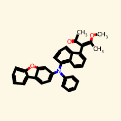 CO/C(C)=C(\C(C)=O)c1cccc2c(N(c3ccccc3)c3ccc4c(c3)oc3ccccc34)cccc12